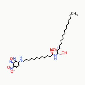 CCCCCCCCCCCCC/C=C/[C@@H](O)[C@H](CO)NC(=O)CCCCCCCCCCCNc1ccc([N+](=O)[O-])c2nonc12